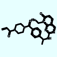 C=CC(=O)N1CCN(C(=O)c2ccc(C(C)Nc3ncc4ccc(=O)n(CC(C)(C)C)c4n3)cc2)CC1